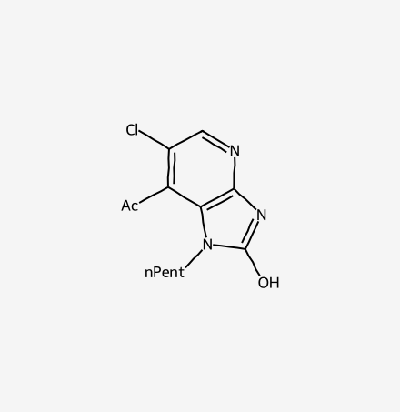 CCCCCn1c(O)nc2ncc(Cl)c(C(C)=O)c21